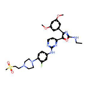 CCNc1nc(-c2cc(OC)cc(OC)c2)c(-c2ccnc(Nc3ccc(N4CCN(CCS(C)(=O)=O)CC4)c(F)c3)n2)o1